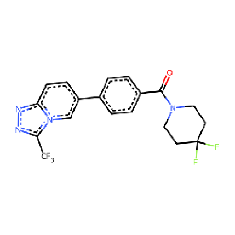 O=C(c1ccc(-c2ccc3nnc(C(F)(F)F)n3c2)cc1)N1CCC(F)(F)CC1